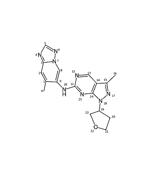 Cc1cc2ncnn2cc1Nc1ncc2c(C)nn(C3CCOC3)c2n1